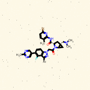 CC(=O)c1nn(CC(=O)N2C3C[C@]3(CN(C)C)C[C@H]2C(=O)Nc2nc(Br)ccc2C)c2ccc(-c3cnc(C)nc3)c(F)c12